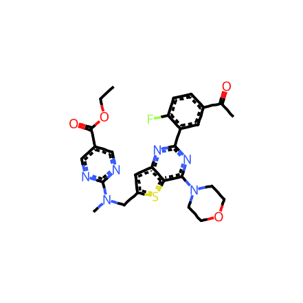 CCOC(=O)c1cnc(N(C)Cc2cc3nc(-c4cc(C(C)=O)ccc4F)nc(N4CCOCC4)c3s2)nc1